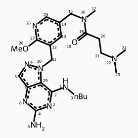 CCCCNc1nc(N)nc2cnn(Cc3cc(CN(C)C(=O)CCN(C)C)cnc3OC)c12